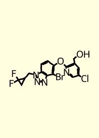 OCc1cc(Cl)cnc1Oc1ccc2c(nnn2CC2CC2(F)F)c1Br